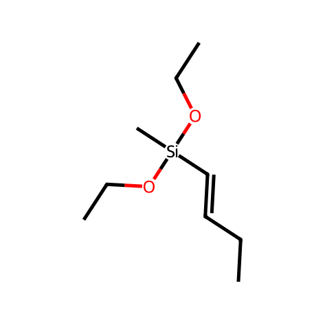 CC/C=C/[Si](C)(OCC)OCC